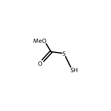 COC(=O)SS